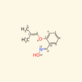 CC(C)=COc1ccccc1C=NO